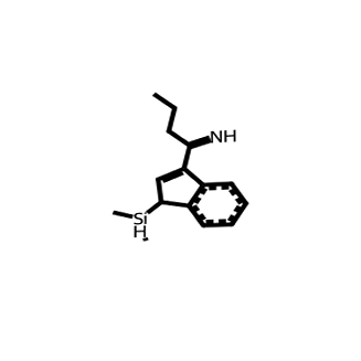 CCCC(=N)C1=CC([SiH](C)C)c2ccccc21